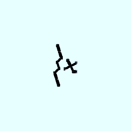 O=C=NSSN=C=O.O=P(O)(F)F